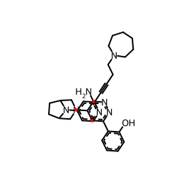 Nc1nnc(-c2ccccc2O)cc1N1CC2CCC(C1)N2c1ccnc(C#CCCN2CCCCCC2)c1